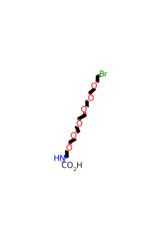 O=C(O)NCCOCCOCCOCCOCCOCCOCCBr